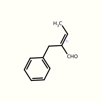 C/C=C(/C=O)Cc1ccccc1